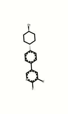 CC[C@H]1CC[C@H](c2ccc(-c3cnc(F)c(F)c3)cc2)CC1